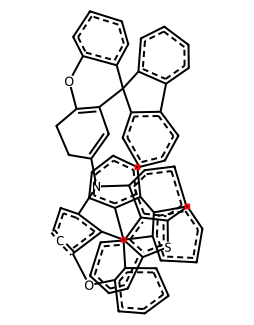 C1=C(N(c2cccc3c2C2(c4ccccc4O3)c3ccccc3-c3ccccc32)c2cccc3sc4ccccc4c23)CCC2=C1C1(c3ccccc3O2)c2ccccc2-c2ccccc21